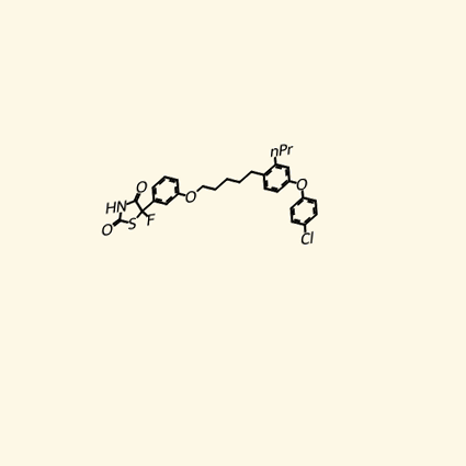 CCCc1cc(Oc2ccc(Cl)cc2)ccc1CCCCCOc1cccc(C2(F)SC(=O)NC2=O)c1